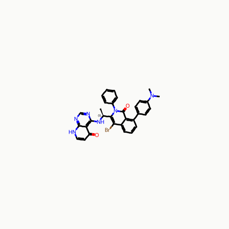 C[C@H](Nc1ncnc2[nH]ccc(=O)c12)c1c(Br)c2cccc(-c3ccc(N(C)C)cc3)c2c(=O)n1-c1ccccc1